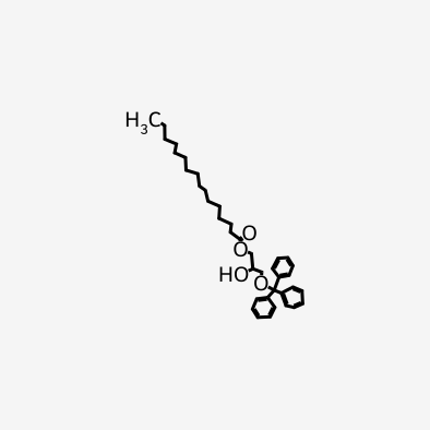 CCCCCCCCCCCCCCCC(=O)OCC(O)COC(c1ccccc1)(c1ccccc1)c1ccccc1